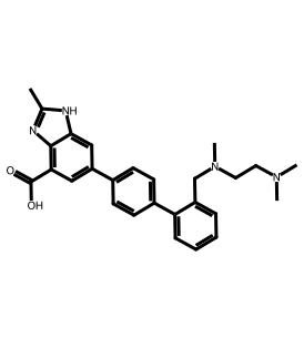 Cc1nc2c(C(=O)O)cc(-c3ccc(-c4ccccc4CN(C)CCN(C)C)cc3)cc2[nH]1